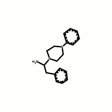 NC(Cc1ccccc1)N1CCN(c2ccccc2)CC1